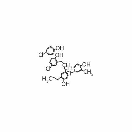 CCCc1cc(Cl)ccc1O.CCc1cc(Cl)ccc1O.Cc1cc(Cl)ccc1O.Oc1ccc(Cl)cc1